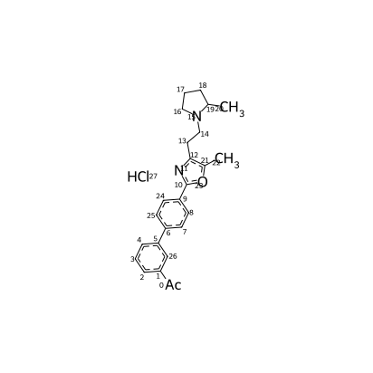 CC(=O)c1cccc(-c2ccc(-c3nc(CCN4CCCC4C)c(C)o3)cc2)c1.Cl